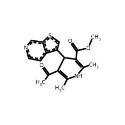 COC(=O)C1=C(C)NC(C)=C(C(C)=O)C1c1csc2cnccc12